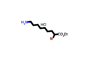 CCOC(=O)C(Br)CCCCCCCN.Cl